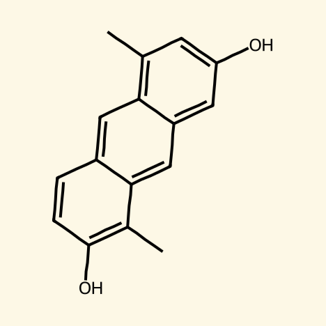 Cc1cc(O)cc2cc3c(C)c(O)ccc3cc12